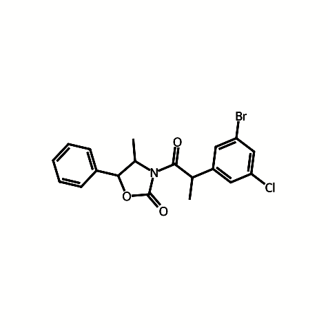 CC(C(=O)N1C(=O)OC(c2ccccc2)C1C)c1cc(Cl)cc(Br)c1